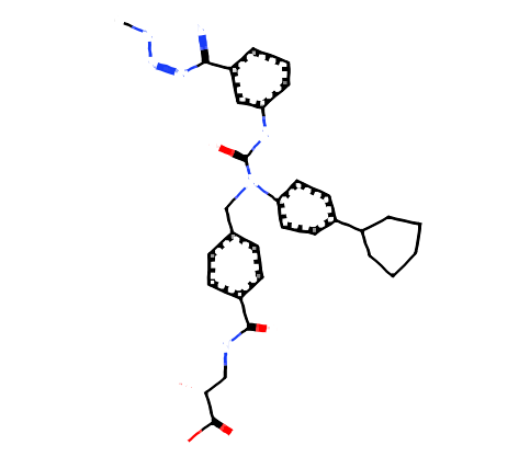 CN/N=N\C(=N)c1cccc(NC(=O)N(Cc2ccc(C(=O)NC[C@@H](O)C(=O)O)cc2)c2ccc(C3CCCCC3)cc2)c1